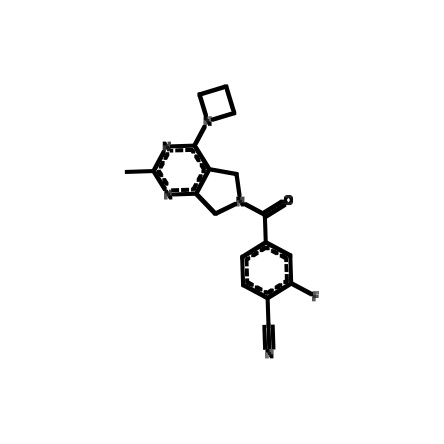 Cc1nc2c(c(N3CCC3)n1)CN(C(=O)c1ccc(C#N)c(F)c1)C2